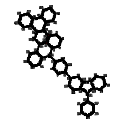 c1ccc(N(c2ccc(-c3ccc4c(c3)c3ccccc3n4-c3ccccc3)cc2)c2ccccc2-c2cnc3c4ccccc4c4ccccc4c3n2)cc1